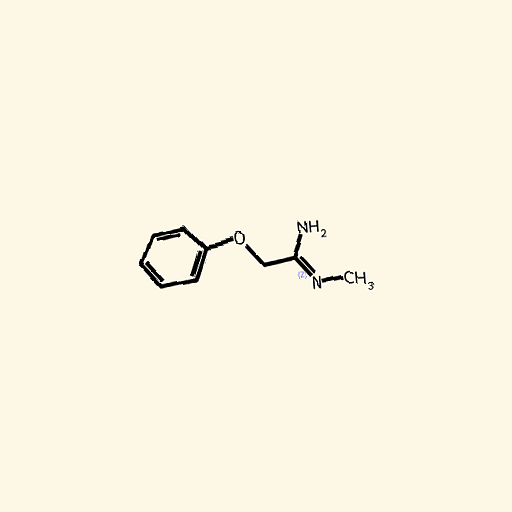 C/N=C(\N)COc1ccccc1